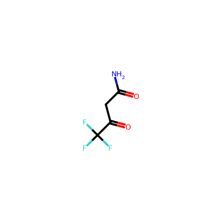 NC(=O)CC(=O)C(F)(F)F